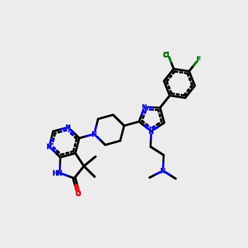 CN(C)CCn1cc(-c2ccc(F)c(Cl)c2)nc1C1CCN(c2ncnc3c2C(C)(C)C(=O)N3)CC1